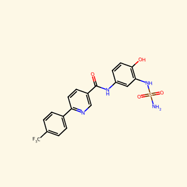 NS(=O)(=O)Nc1cc(NC(=O)c2ccc(-c3ccc(C(F)(F)F)cc3)nc2)ccc1O